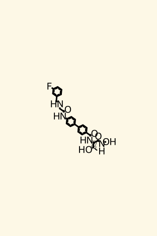 C[C@@H](O)[C@H](NC(=O)c1ccc(-c2ccc(NC(=O)CNCc3cccc(F)c3)cc2)cc1)C(=O)NO